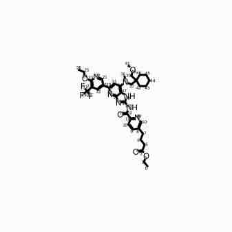 CCOC(=O)CCCc1ccc(C(=O)Nc2nc3nc(-c4cnc(OCC)c(C(F)(F)F)c4)cc(N(C)CC4(COC)CCCCC4)c3[nH]2)nc1